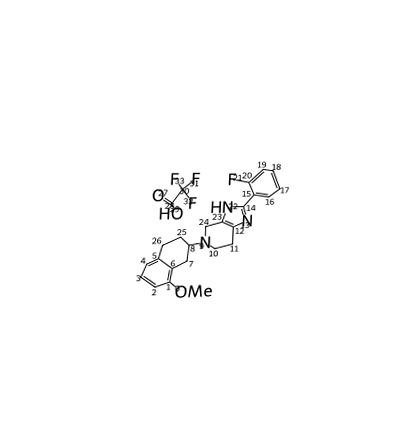 COc1cccc2c1CC(N1CCc3nc(-c4ccccc4F)[nH]c3C1)CC2.O=C(O)C(F)(F)F